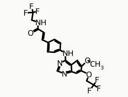 COc1cc2c(Nc3ccc(C=CC(=O)NCC(F)(F)F)cc3)ncnc2cc1OCC(F)(F)F